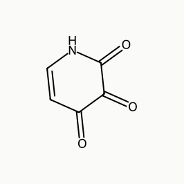 O=C1C=CNC(=O)C1=O